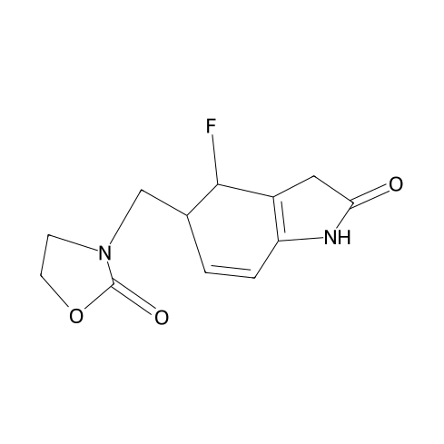 O=C1CC2=C(C=CC(CN3CCOC3=O)C2F)N1